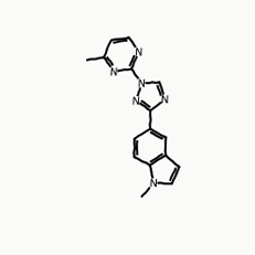 Cc1ccnc(-n2cnc(-c3ccc4c(ccn4C)c3)n2)n1